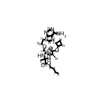 CCCCOC(=O)C(C)(C)NP(=O)(CO[C@H](C)Cn1cnc2c(N)ncnc21)N[C@H](C)C(=O)OC1CCC1